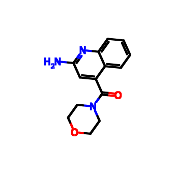 Nc1cc(C(=O)N2CCOCC2)c2ccccc2n1